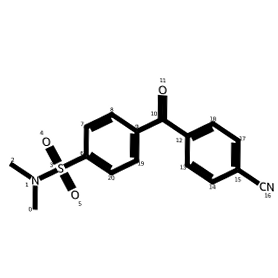 CN(C)S(=O)(=O)c1ccc(C(=O)c2ccc(C#N)cc2)cc1